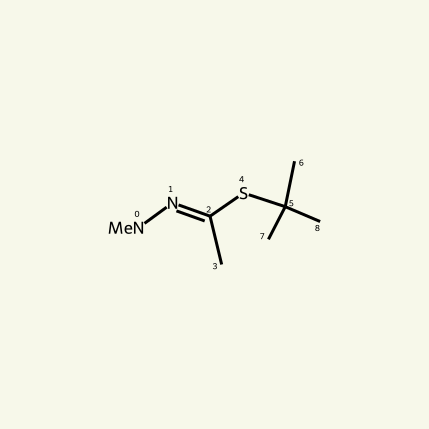 CN/N=C(\C)SC(C)(C)C